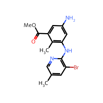 COC(=O)c1cc(N)cc(Nc2ncc(C)cc2Br)c1C